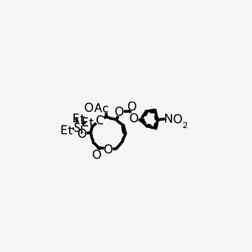 CC[Si](CC)(CC)OC1CCC(OC(C)=O)C(OC(=O)Oc2ccc([N+](=O)[O-])cc2)C=CCCOC(=O)C1